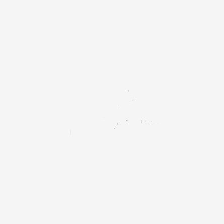 CCCCCCCC[C@@]1(C)SC(=O)C=C1OCCCCCl